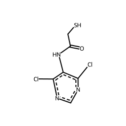 O=C(CS)Nc1c(Cl)ncnc1Cl